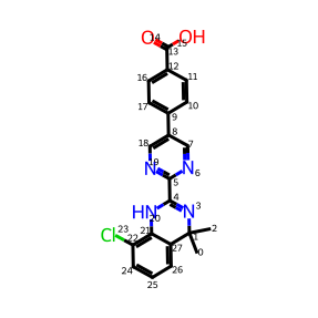 CC1(C)N=C(c2ncc(-c3ccc(C(=O)O)cc3)cn2)Nc2c(Cl)cccc21